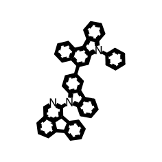 c1ccc(-n2c3ccccc3c3c4ccccc4c(-c4ccc5c(c4)c4ccccc4n5-c4ncc5cccc6c5c4-c4ccccc4-6)cc32)cc1